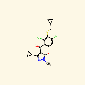 Cn1nc(C2CC2)c(C(=O)c2ccc(Cl)c(SCC3CC3)c2Cl)c1O